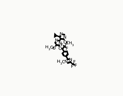 COc1cnc(-c2c(OC)ncnc2C2CC2)nc1O[C@H](c1ccc(-c2nc(C(F)(F)F)cn2C)cc1)C(F)(F)F